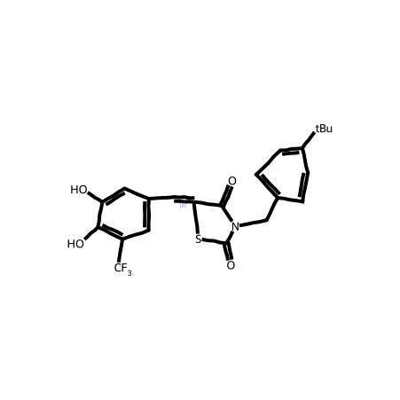 CC(C)(C)c1ccc(CN2C(=O)S/C(=C\c3cc(O)c(O)c(C(F)(F)F)c3)C2=O)cc1